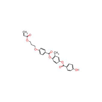 C=CC(=O)OCCCOc1ccc(C(=O)Oc2ccc(OC(=O)c3ccc(O)cc3)cc2C)cc1